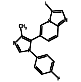 Cc1ncn(-c2ccc(F)cc2)c1-c1ccc2ncc(I)n2c1